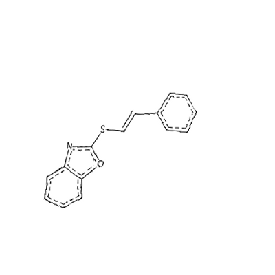 C(=Cc1ccccc1)Sc1nc2ccccc2o1